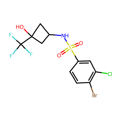 O=S(=O)(NC1CC(O)(C(F)(F)F)C1)c1ccc(Br)c(Cl)c1